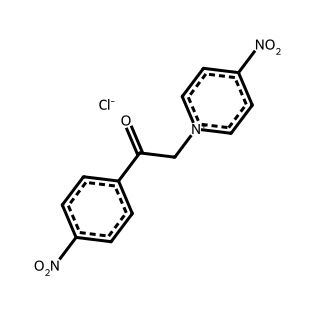 O=C(C[n+]1ccc([N+](=O)[O-])cc1)c1ccc([N+](=O)[O-])cc1.[Cl-]